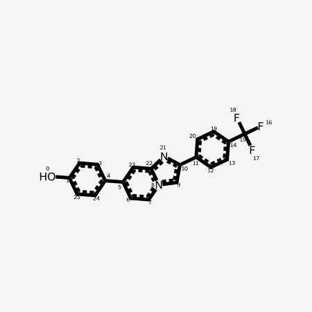 Oc1ccc(-c2ccn3cc(-c4ccc(C(F)(F)F)cc4)nc3c2)cc1